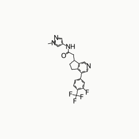 Cn1cc(NC(=O)CC2CCc3c(-c4ccc(C(F)(F)F)c(F)c4)cncc32)cn1